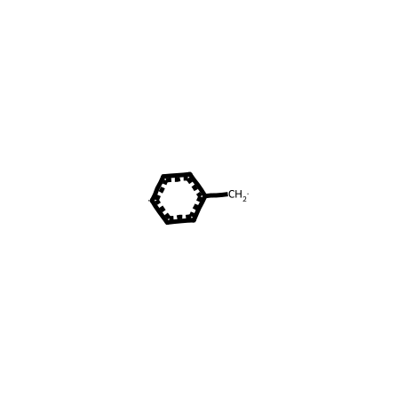 [CH2]c1cc[c]cc1